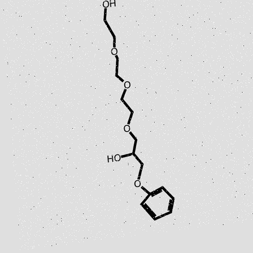 OCCOCCOCCOCC(O)COc1ccccc1